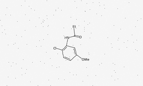 CCC(=O)Nc1cc(OC)ccc1Cl